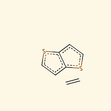 C=C.c1cc2sccc2s1